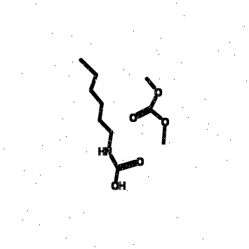 CCCCCCNC(=O)O.COC(=O)OC